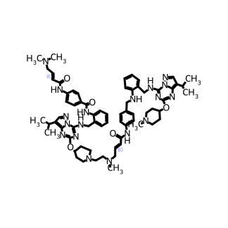 CC(C)c1cnn2c(NCc3ccccc3NCc3ccc(NC(=O)/C=C/CN(C)CCN4CCC(Oc5nc(NCc6ccccc6NC(=O)c6ccc(NC(=O)/C=C/CN(C)C)cc6)n6ncc(C(C)C)c6n5)CC4)cc3)nc(OC3CCN(C)CC3)nc12